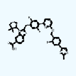 Cc1ncc(-c2ccc(COc3cccc(-c4cc(F)c(Cc5nc6ccc(C(=O)O)cc6n5C5COCC5(C)C)cc4F)n3)c(F)c2)s1